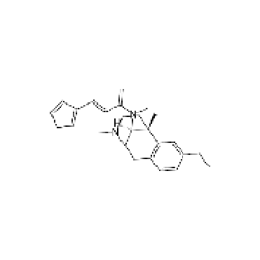 C=C(/C=C/C1=CCC=C1)N(C)[C@@H]1C2Cc3ccc(CC)cc3[C@@]1(C)CCN2C